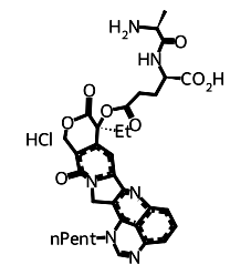 CCCCCN1C=Nc2cccc3nc4c(c1c23)Cn1c-4cc2c(c1=O)COC(=O)[C@@]2(CC)OC(=O)CC[C@@H](NC(=O)[C@H](C)N)C(=O)O.Cl